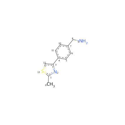 Cc1nc(-c2ccc(CN)cc2)cs1